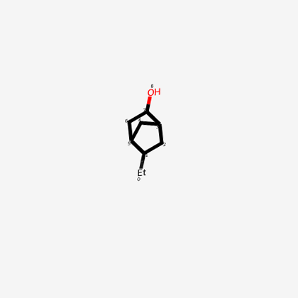 CC[C]1CC2CC1CC2O